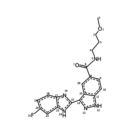 COCCCNC(=O)c1ccc2[nH]nc(-c3nc4ccc(F)cc4[nH]3)c2c1